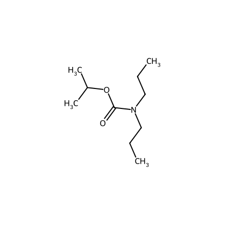 CCCN(CCC)C(=O)OC(C)C